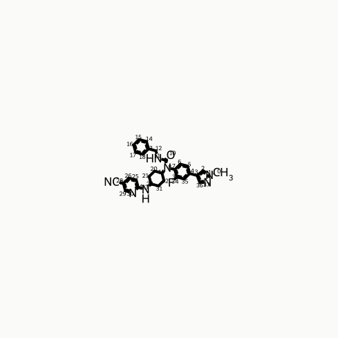 Cn1cc(-c2ccc(N(C(=O)NCc3ccccc3)C3CCC(Nc4ccc(C#N)cn4)CC3)c(F)c2)cn1